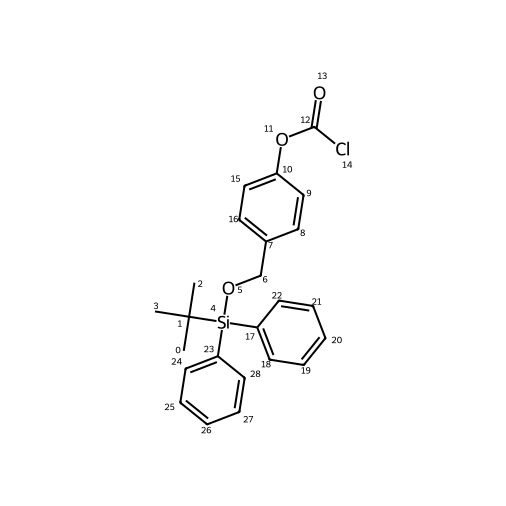 CC(C)(C)[Si](OCc1ccc(OC(=O)Cl)cc1)(c1ccccc1)c1ccccc1